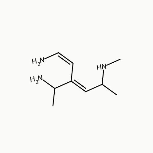 CNC(C)/C=C(\C=C/N)C(C)N